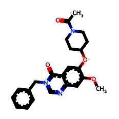 COc1cc2ncn(Cc3ccccc3)c(=O)c2cc1OC1CCN(C(C)=O)CC1